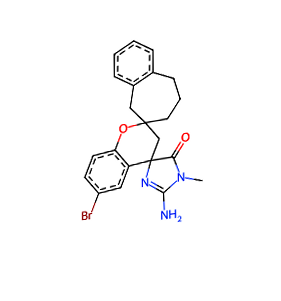 CN1C(=O)C2(CC3(CCCc4ccccc4C3)Oc3ccc(Br)cc32)N=C1N